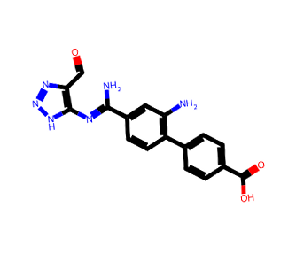 N/C(=N\c1[nH]nnc1C=O)c1ccc(-c2ccc(C(=O)O)cc2)c(N)c1